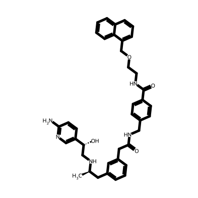 C[C@H](Cc1cccc(CC(=O)NCc2ccc(C(=O)NCCOCc3cccc4ccccc34)cc2)c1)NC[C@@H](O)c1ccc(N)nc1